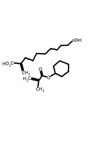 C=C(C)C(=O)OC1CCCCC1.C=C(CCCCCCCCCCCCCCCCCC)C(=O)O